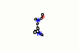 c1ccc(-c2nc(-c3ccc(-c4ccc5c(c4)c4ccccc4c4nc6ccccn6c54)cc3)nc(-c3ccc4oc5ccccc5c4c3)n2)cc1